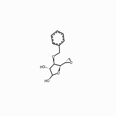 OC1O[C@H]([C@@H]2CO2)[C@H](OCc2ccccc2)[C@H]1O